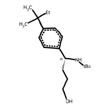 CCC(C)(C)c1ccc([C@@H](CCCO)NC(C)(C)C)cc1